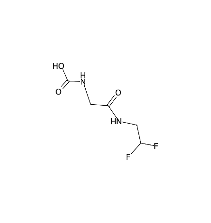 O=C(O)NCC(=O)NCC(F)F